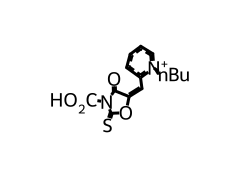 CCCC[n+]1ccccc1/C=C1/OC(=S)N(C(=O)O)C1=O